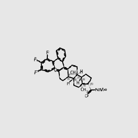 CNC(=O)[C@H]1CC[C@H]2[C@@H]3CCC4=C(c5ccccc5-c5ccc(F)c(F)c5F)C(=O)CC[C@]4(C)[C@H]3CC[C@]12C